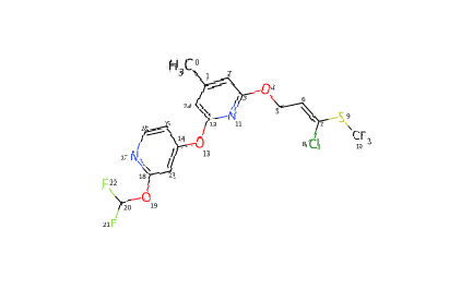 Cc1cc(OCC=C(Cl)SC(F)(F)F)nc(Oc2ccnc(OC(F)F)c2)c1